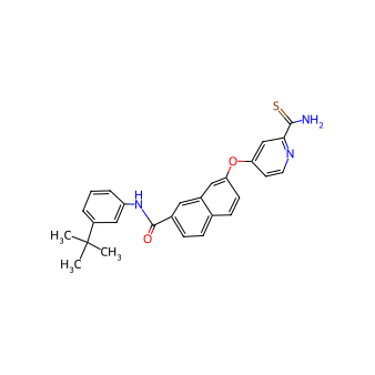 CC(C)(C)c1cccc(NC(=O)c2ccc3ccc(Oc4ccnc(C(N)=S)c4)cc3c2)c1